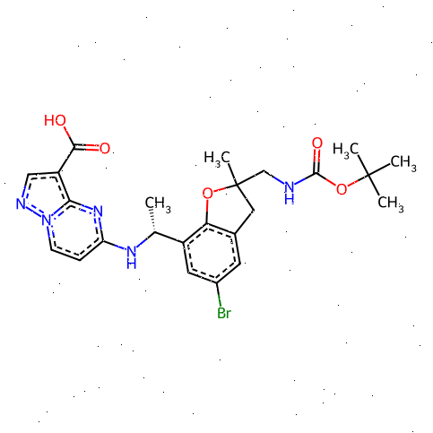 C[C@@H](Nc1ccn2ncc(C(=O)O)c2n1)c1cc(Br)cc2c1OC(C)(CNC(=O)OC(C)(C)C)C2